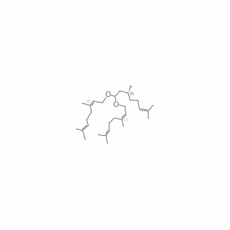 CC(C)=CCC/C(C)=C\COC(C[C@@H](C)CCC=C(C)C)OC/C=C(/C)CCC=C(C)C